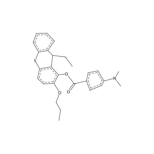 CCCOc1ccc2c(c1OC(=O)c1ccc(N(C)C)cc1)C(CC)c1ccccc1S2